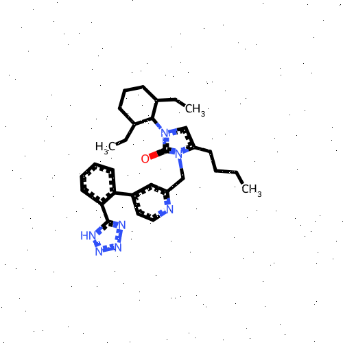 CCCCc1cn(C2C(CC)CCCC2CC)c(=O)n1Cc1cc(-c2ccccc2-c2nnn[nH]2)ccn1